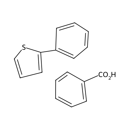 O=C(O)c1ccccc1.c1ccc(-c2cccs2)cc1